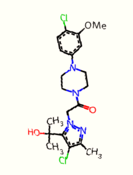 COc1cc(N2CCN(C(=O)Cn3nc(C)c(Cl)c3C(C)(C)O)CC2)ccc1Cl